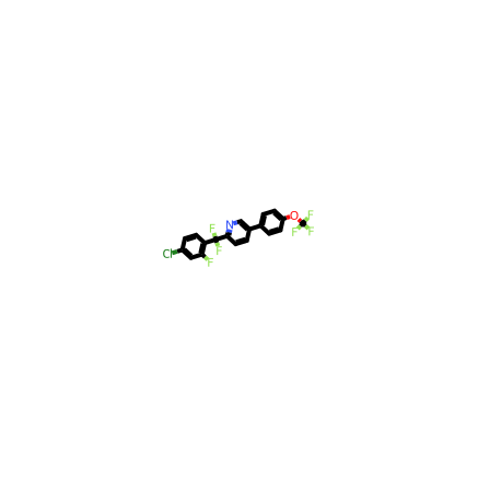 Fc1cc(Cl)ccc1C(F)(F)c1ccc(-c2ccc(OC(F)(F)F)cc2)cn1